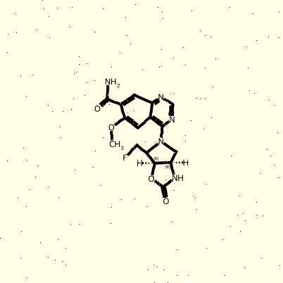 COc1cc2c(N3C[C@H]4NC(=O)O[C@H]4C3CF)ncnc2cc1C(N)=O